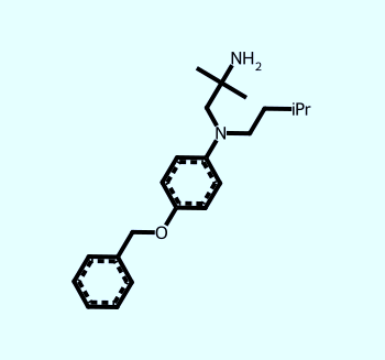 CC(C)CCN(CC(C)(C)N)c1ccc(OCc2ccccc2)cc1